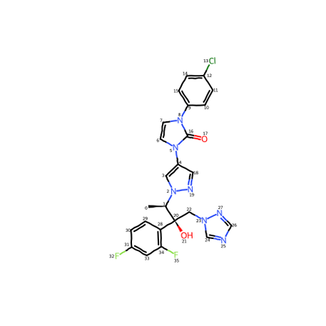 C[C@@H](n1cc(-n2ccn(-c3ccc(Cl)cc3)c2=O)cn1)[C@](O)(Cn1cncn1)c1ccc(F)cc1F